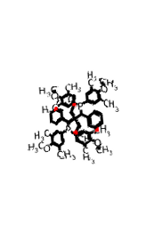 CCCC(CCC)(C(c1ccccc1)P(c1cc(C)c(OC)c(C)c1)c1cc(C)c(OC)c(C)c1)C(c1ccccc1)P(c1cc(C)c(OC)c(C)c1)c1cc(C)c(OC)c(C)c1